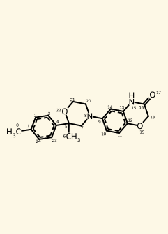 Cc1ccc(C2(C)CN(c3ccc4c(c3)NC(=O)CO4)CCO2)cc1